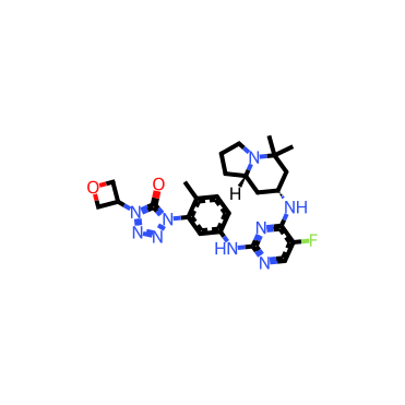 Cc1ccc(Nc2ncc(F)c(N[C@@H]3C[C@@H]4CCCN4C(C)(C)C3)n2)cc1-n1nnn(C2COC2)c1=O